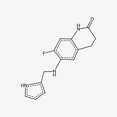 O=C1CCc2cc(NCc3ccc[nH]3)c(F)cc2N1